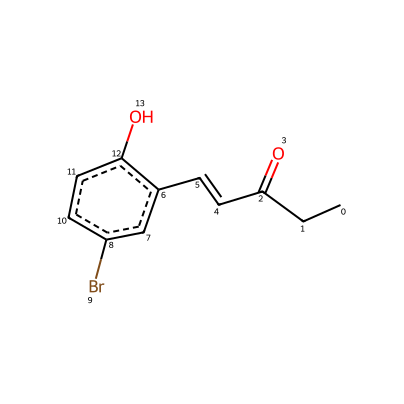 CCC(=O)/C=C/c1cc(Br)ccc1O